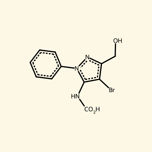 O=C(O)Nc1c(Br)c(CO)nn1-c1ccccc1